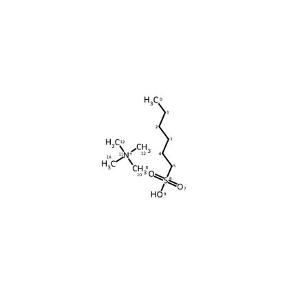 CCCCCCS(=O)(=O)O.C[N+](C)(C)C